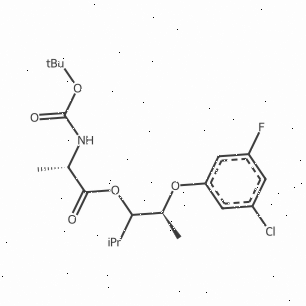 CC(C)C(OC(=O)[C@H](C)NC(=O)OC(C)(C)C)[C@H](C)Oc1cc(F)cc(Cl)c1